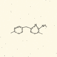 Cc1ccc(Cc2ccc(C)c(N)n2)cc1